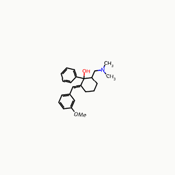 COc1cccc(C=C2CCCC(CN(C)C)C2(O)c2ccccc2)c1